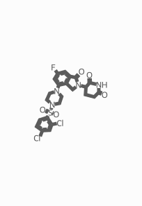 O=C1CCC(N2Cc3c(cc(F)cc3N3CCN(S(=O)(=O)c4ccc(Cl)cc4Cl)CC3)C2=O)C(=O)N1